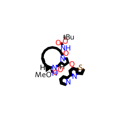 COC(=O)[C@@]12C[C@H]1/C=C\CCCCC[C@H](NC(=O)OC(C)(C)C)C(=O)N1C[C@H](Oc3cc(-c4ccccn4)nc4ccsc34)C[C@H]1C(=O)N2